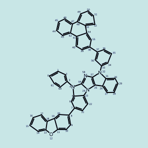 c1ccc(-n2c3cc(-c4ccc5oc6ccccc6c5c4)ccc3n3c4c5ccccc5n(-c5cccc(-c6ccc7c8ccccc8c8ccccc8c7c6)c5)c4nc23)cc1